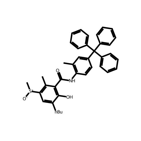 CCCCc1cc([S+](C)[O-])c(C)c(C(=O)Nc2ccc(C(c3ccccc3)(c3ccccc3)c3ccccc3)cc2C)c1O